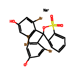 O=S1(=O)OC(c2c(Br)cc([O-])cc2Br)(c2c(Br)cc(O)cc2Br)c2ccccc21.[Na+]